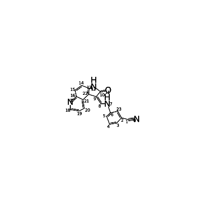 N#Cc1cccc(NC=C2C(=O)Nc3ccc4ncccc4c32)c1